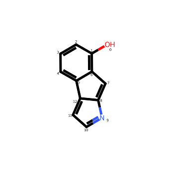 Oc1cccc2c1C=C1N=CC=C12